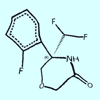 O=C1COC[C@](c2ccccc2F)(C(F)F)N1